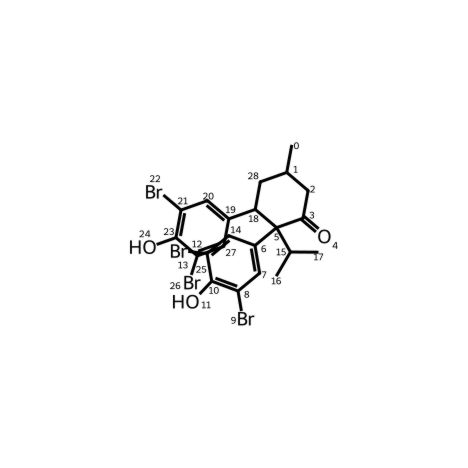 CC1CC(=O)C(c2cc(Br)c(O)c(Br)c2)(C(C)C)C(c2cc(Br)c(O)c(Br)c2)C1